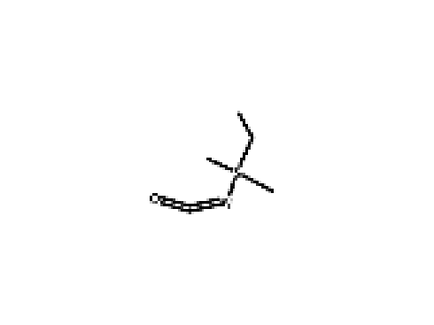 CCS(C)(C)N=C=O